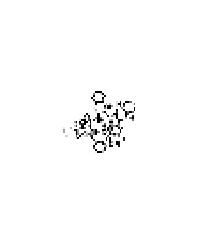 CC(C)(C)NC(=O)[C@@H]1C[C@@H]2CCCC[C@@H]2CN1C[C@@H](O)[C@H](Cc1ccccc1)NC(=O)[C@@H](NCc1cccc(O)c1)C(C)(C)S(C)(=O)=O